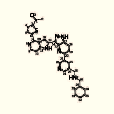 CC(=O)c1ccc(-c2nccc3[nH]c(-c4n[nH]c5ccc(-c6cncc(CNCc7ccccc7)c6)nc45)cc23)s1